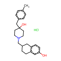 Cc1ccc(CC2(O)CCN(CC3CCc4cc(O)ccc4C3)CC2)cc1.Cl